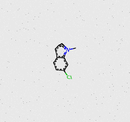 Cn1ccc2ccc(Cl)cc21